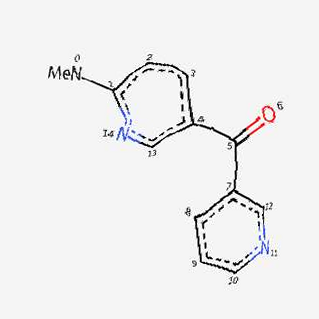 CNc1ccc(C(=O)c2cccnc2)cn1